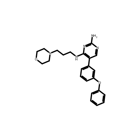 Nc1ncc(-c2cccc(Oc3ccccc3)c2)c(NCCCN2CCOCC2)n1